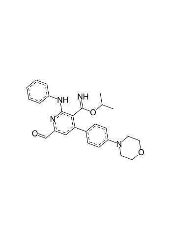 CC(C)OC(=N)c1c(-c2ccc(N3CCOCC3)cc2)cc(C=O)nc1Nc1ccccc1